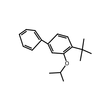 CC(C)Oc1cc(-c2ccccc2)ccc1C(C)(C)C